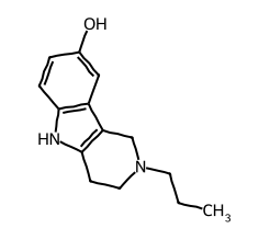 CCCN1CCc2[nH]c3ccc(O)cc3c2C1